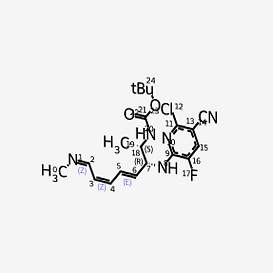 C\N=C/C=C\C=C\[C@@H](Nc1nc(Cl)c(C#N)cc1F)[C@H](C)NC(=O)OC(C)(C)C